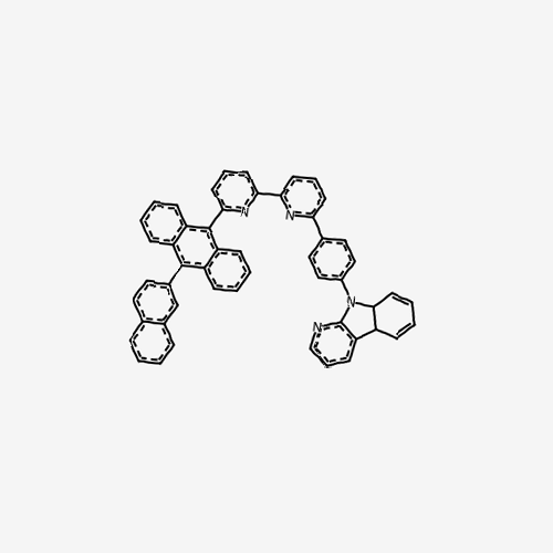 C1=CC2c3cccnc3N(c3ccc(-c4cccc(-c5cccc(-c6c7ccccc7c(-c7ccc8ccccc8c7)c7ccccc67)n5)n4)cc3)C2C=C1